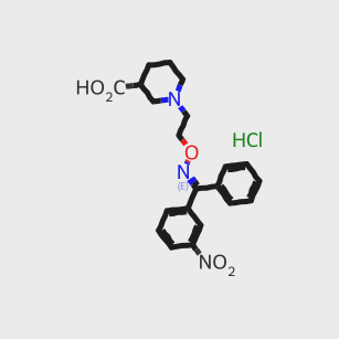 Cl.O=C(O)C1CCCN(CCO/N=C(\c2ccccc2)c2cccc([N+](=O)[O-])c2)C1